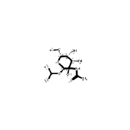 CC(=O)N[C@]1(O)[C@@H](OC(C)C)O[C@H](CO)[C@H](O)[C@@H]1O